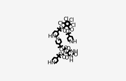 CC(C)(OC(=O)c1c(Cl)c(Cl)c(Cl)c(Cl)c1C(=O)OC(C)(C)C1CCNC(N2CCC(C(C)(C)OC(=O)N(C(=O)OC(C)(C)C3CCNCC3)C3C(=O)NC(=O)NC3=O)CC2)C1)C1CCNCC1